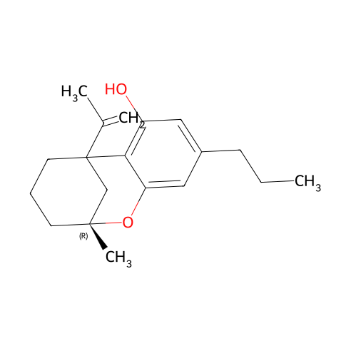 C=C(C)C12CCC[C@](C)(C1)Oc1cc(CCC)cc(O)c12